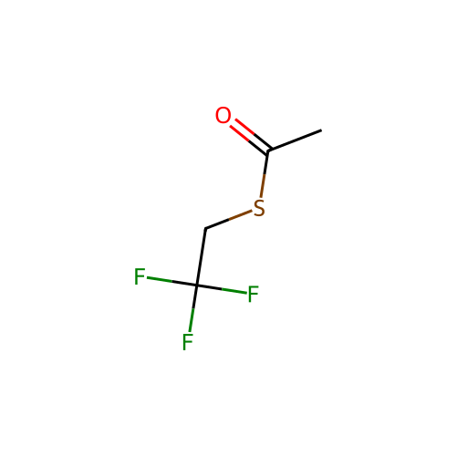 CC(=O)SCC(F)(F)F